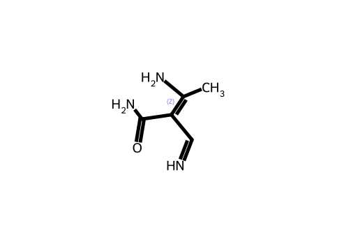 C/C(N)=C(\C=N)C(N)=O